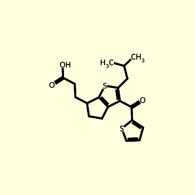 CC(C)Cc1sc2c(c1C(=O)c1cccs1)CCC2CCC(=O)O